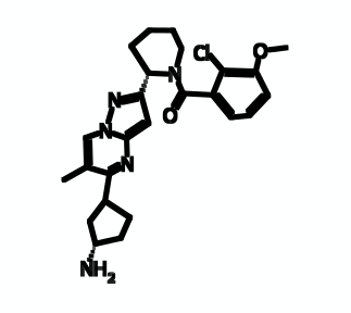 COc1cccc(C(=O)N2CCCC[C@H]2c2cc3nc(C4CC[C@H](N)C4)c(C)cn3n2)c1Cl